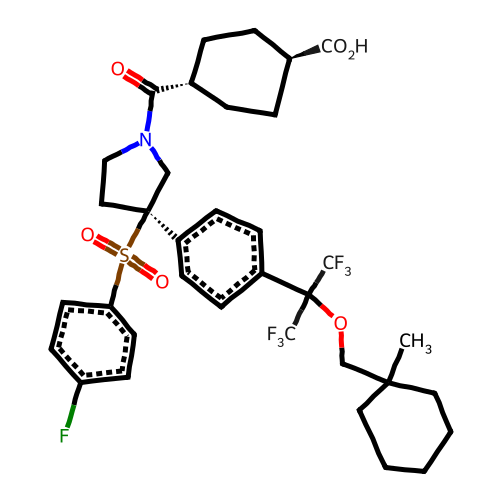 CC1(COC(c2ccc([C@]3(S(=O)(=O)c4ccc(F)cc4)CCN(C(=O)[C@H]4CC[C@H](C(=O)O)CC4)C3)cc2)(C(F)(F)F)C(F)(F)F)CCCCC1